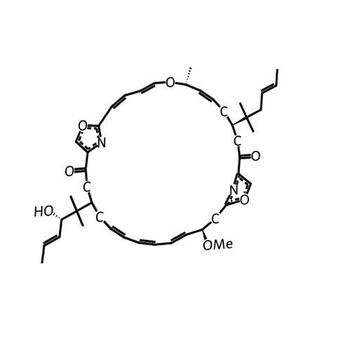 C/C=C/CC(C)(C)[C@@H]1C/C=C\[C@@H](C)O/C=C/C=C\c2nc(co2)C(=O)CC(C(C)(C)[C@@H](O)/C=C/C)C\C=C/C=C\C=C\[C@H](OC)Cc2nc(co2)C(=O)C1